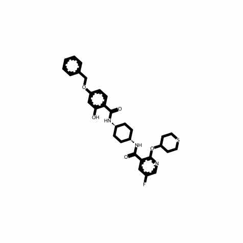 O=C(N[C@H]1CC[C@@H](NC(=O)c2cc(F)cnc2OC2CCSCC2)CC1)c1ccc(OCc2ccccc2)cc1O